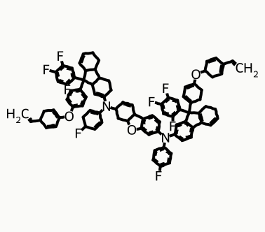 C=CC1=CCC(OC2=CC=C(C3(c4cc(F)c(F)cc4F)C4=C(C=CCC4)c4ccc(N(c5ccc(F)cc5)c5ccc6c(c5)OC5CC(N(C7=CCC(F)C=C7)C7=CC8C(CC7)C7CCC=CC7C8(c7ccc(OC8=CCC(C=C)C=C8)cc7)c7cc(F)c(F)cc7F)C=CC65)cc43)CC2)C=C1